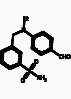 CCN(Cc1cccc(S(N)(=O)=O)c1)c1ccc(C=O)cc1